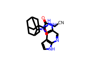 N#CCNC(=O)C12CC3CC(C1)C(n1c(=O)[nH]c4cnc5[nH]ccc5c41)C(C3)C2